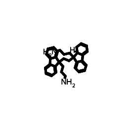 NCCCC1(CCC2(CCCN)c3ccccc3C3=CC=CC[C@H]32)c2ccccc2-c2ccccc21